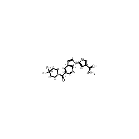 NC(=O)c1csc(-n2ccc3cc(C(=O)N4CCC(F)(F)CC4)cnc32)c1